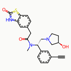 C#Cc1cccc([C@@H](CN2CC[C@@H](O)C2)N(C)C(=O)Cc2ccc3sc(=O)[nH]c3c2)c1